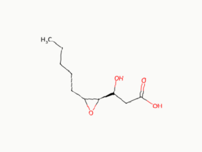 CCCCCC1O[C@@H]1C(O)CC(=O)O